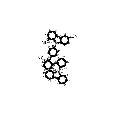 N#Cc1ccc2c(c1)c1cccc(C#N)c1n2-c1ccc(-c2c(C#N)cccc2-c2ccccc2-n2c3ccccc3c3ccccc32)cc1